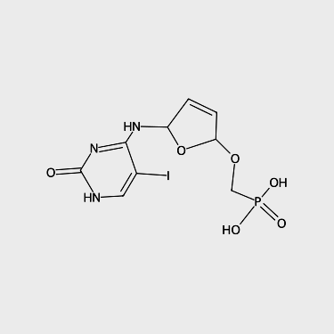 O=c1nc(NC2C=CC(OCP(=O)(O)O)O2)c(I)c[nH]1